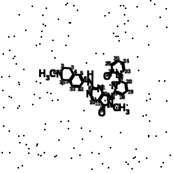 CN1CCc2cc(Nc3ncc4c(=O)n(C)n(-c5cccc(-n6ccccc6=O)n5)c4n3)ccc2C1